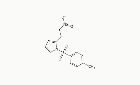 Cc1ccc(S(=O)(=O)n2cccc2CC[N+](=O)[O-])cc1